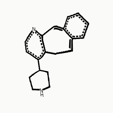 C1=c2ccccc2=Cc2nccc(C3CCNCC3)c2C1